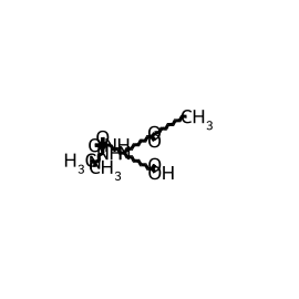 CCCCCCCCCOC(=O)CCCCCCCN(CCCCCCCC(=O)O)CCCNc1c(NCCN(C)C)c(=O)c1=O